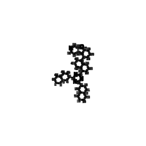 c1ccc2cc(-c3nc(-c4ccc5ccccc5c4)nc(-c4cccc5c(-c6cccc7oc8cnccc8c67)cccc45)n3)ccc2c1